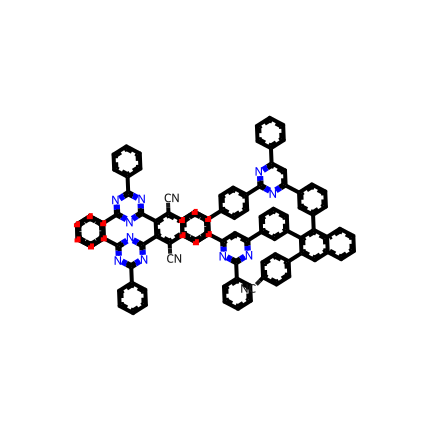 N#Cc1ccc(-c2cc3ccccc3c(-c3cccc(-c4cc(-c5ccccc5)nc(-c5ccc(-c6ccc7c(C#N)c(-c8nc(-c9ccccc9)nc(-c9ccccc9)n8)c(-c8nc(-c9ccccc9)nc(-c9ccccc9)n8)c(C#N)c7c6)cc5)n4)c3)c2-c2cccc(-c3cc(-c4ccccc4)nc(-c4ccccc4)n3)c2)cc1